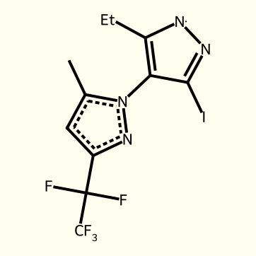 CCC1=C(n2nc(C(F)(F)C(F)(F)F)cc2C)C(I)=N[N]1